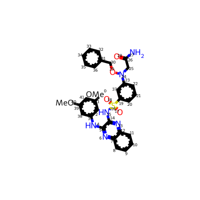 COc1cc(Nc2nc3ccccc3nc2NS(=O)(=O)c2cccc(N(CC(N)=O)OCc3ccccc3)c2)cc(OC)c1